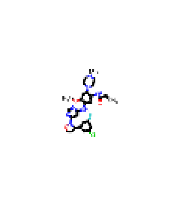 C=CC(=O)Nc1cc(Nc2cc(N3OCCC3c3cc(F)cc(Cl)c3)ncn2)c(OC)cc1N1CCN(C)CC1